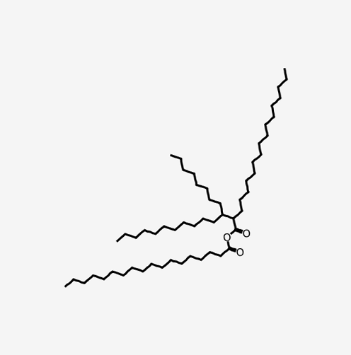 CCCCCCCCCCCCCCCCCC(=O)OC(=O)C(CCCCCCCCCCCCCCCC)C(CCCCCCCC)CCCCCCCCCCC